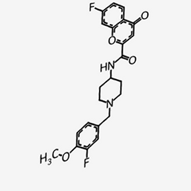 COc1ccc(CN2CCC(NC(=O)c3cc(=O)c4ccc(F)cc4o3)CC2)cc1F